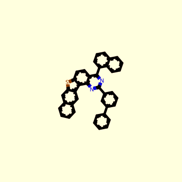 c1ccc(-c2cccc(-c3nc(-c4cccc5ccccc45)c4ccc5sc6cc7ccccc7cc6c5c4n3)c2)cc1